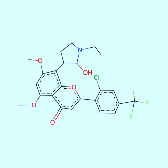 CCN1CCC(c2c(OC)cc(OC)c3c(=O)cc(-c4ccc(C(F)(F)F)cc4Cl)oc23)C1O